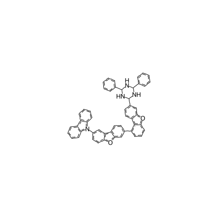 c1ccc(C2NC(c3ccccc3)NC(c3ccc4c(c3)oc3cccc(-c5ccc6c(c5)oc5ccc(-n7c8ccccc8c8ccccc87)cc56)c34)N2)cc1